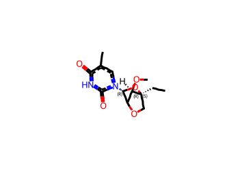 CC[C@@]12COC([C@H](n3cc(C)c(=O)[nH]c3=O)O1)[C@H]2OC